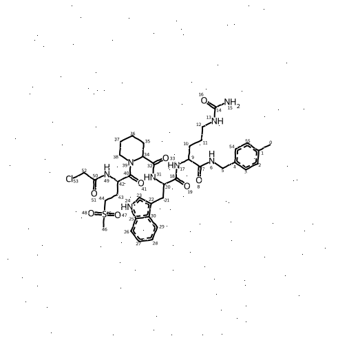 Cc1ccc(CNC(=O)C(CCCNC(N)=O)NC(=O)C(Cc2c[nH]c3ccccc23)NC(=O)C2CCCCN2C(=O)C(CCS(C)(=O)=O)NC(=O)CCl)cc1